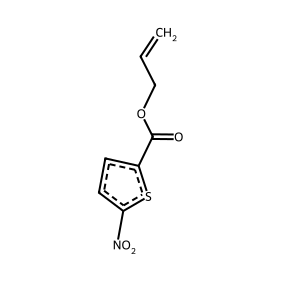 C=CCOC(=O)c1ccc([N+](=O)[O-])s1